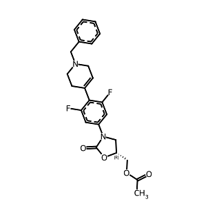 CC(=O)OC[C@H]1CN(c2cc(F)c(C3=CCN(Cc4ccccc4)CC3)c(F)c2)C(=O)O1